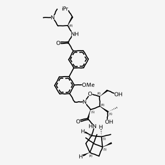 COc1c(CN2O[C@@H](CO)[C@@H]([C@H](C)O)[C@H]2C(=O)N[C@H]2C[C@H]3C[C@@](C)([C@@H]2C)C3(C)C)cccc1-c1cccc(C(=O)N[C@H](CC(C)C)CN(C)C)c1